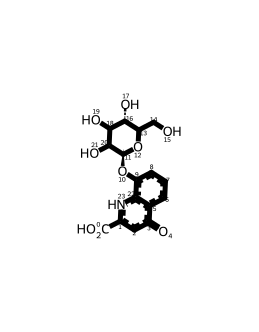 O=C(O)c1cc(=O)c2cccc(O[C@@H]3OC(CO)[C@@H](O)C(O)C3O)c2[nH]1